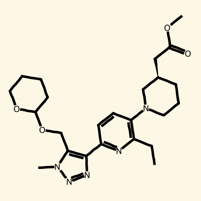 CCc1nc(-c2nnn(C)c2COC2CCCCO2)ccc1N1CCC[C@H](CC(=O)OC)C1